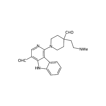 CNCCC1(C=O)CCN(c2ncc(C=O)c3[nH]c4ccccc4c23)CC1